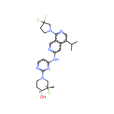 CC(C)c1cnc(N2CCC(F)(F)C2)c2cnc(Nc3ccnc(N4CC[C@@H](O)[C@@](C)(F)C4)n3)cc12